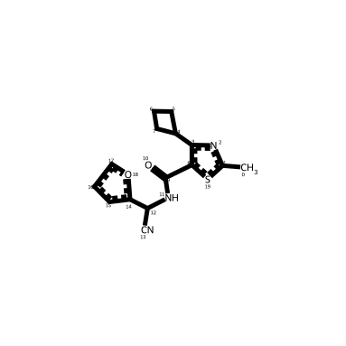 Cc1nc(C2CCC2)c(C(=O)NC(C#N)c2ccco2)s1